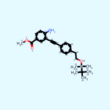 COC(=O)c1ccc(N)c(C#Cc2ccc(CCO[Si](C)(C)C(C)(C)C)cc2)c1